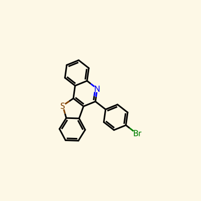 Brc1ccc(-c2nc3ccccc3c3sc4ccccc4c23)cc1